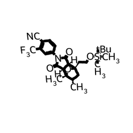 C[C@@H]1C[C@]2(CCO[Si](C)(C)C(C)(C)C)O[C@@]1(C)[C@H]1C(=O)N(c3ccc(C#N)c(C(F)(F)F)c3)C(=O)[C@H]12